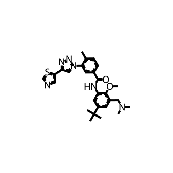 COc1c(CN(C)C)cc(C(C)(C)C)cc1NC(=O)c1ccc(C)c(-n2cc(-c3cncs3)nn2)c1